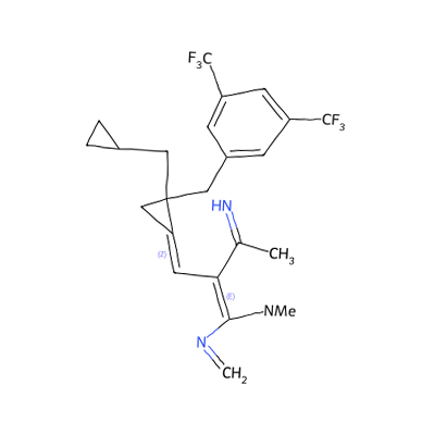 C=N/C(NC)=C(\C=C1\CC1(Cc1cc(C(F)(F)F)cc(C(F)(F)F)c1)CC1CC1)C(C)=N